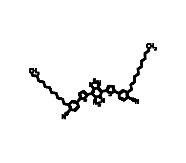 CCCCCCCCCCCCc1cc(-c2ccc(-c3c4c(c(-c5ccc(-c6ccc(C#N)c(CCCCCCCCCCCC)c6)s5)c5nsnc35)N=S=N4)s2)ccc1C#N